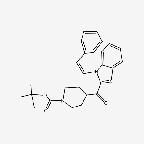 CC(C)(C)OC(=O)N1CCC(C(=O)c2nc3ccccc3n2/C=C\c2ccccc2)CC1